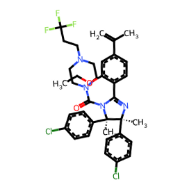 C=C(C)c1ccc(C2=N[C@@](C)(c3ccc(Cl)cc3)[C@@](C)(c3ccc(Cl)cc3)N2C(=O)N2CCN(CCC(F)(F)F)CC2)c(OCC)c1